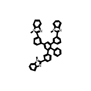 Cn1c(-c2cccc(-c3cc(-c4cccc(-c5nc6ccccc6n5C)c4)c(-c4ccccc4)c(-c4cccc(-c5nc6ccccc6n5C)c4)c3)c2)nc2ccccc21